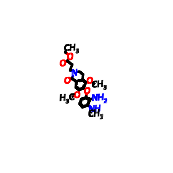 CCOC(=O)CCN1CCc2c(cc(OC)c(Oc3cccc(NC)c3N)c2OC)C1=O